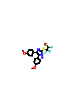 COc1ccc(-c2nc(SC(F)(F)C(F)Br)[nH]c2-c2ccc(OC)cc2)cc1